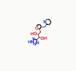 OC(Cc1occc1Cc1ccccn1)C(O)c1nn[nH]n1